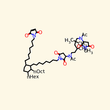 CCCCCCCCC1C(CCCCCC)CCC(CCCCCCCCN2C(=O)C=CC2=O)C1CCCCCCCCN1C(=O)CC(N(CCC(C)CC(C)(C)CN(C(C)=O)C2CC(=O)N(C)C2=O)C(C)=O)C1=O